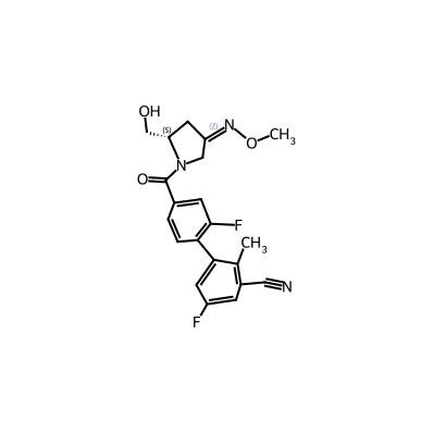 CO/N=C1/C[C@@H](CO)N(C(=O)c2ccc(-c3cc(F)cc(C#N)c3C)c(F)c2)C1